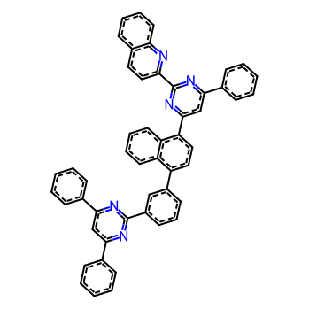 c1ccc(-c2cc(-c3ccccc3)nc(-c3cccc(-c4ccc(-c5cc(-c6ccccc6)nc(-c6ccc7ccccc7n6)n5)c5ccccc45)c3)n2)cc1